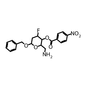 NCC1OC(OCc2ccccc2)CC(F)C1OC(=O)c1ccc([N+](=O)[O-])cc1